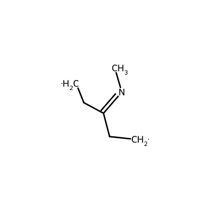 [CH2]CC(C[CH2])=NC